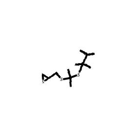 CC(C)C(C)(C)SC(C)(C)SCC1CS1